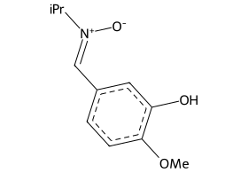 COc1ccc(C=[N+]([O-])C(C)C)cc1O